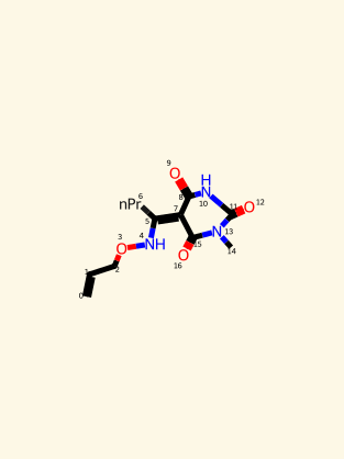 C=CCONC(CCC)=C1C(=O)NC(=O)N(C)C1=O